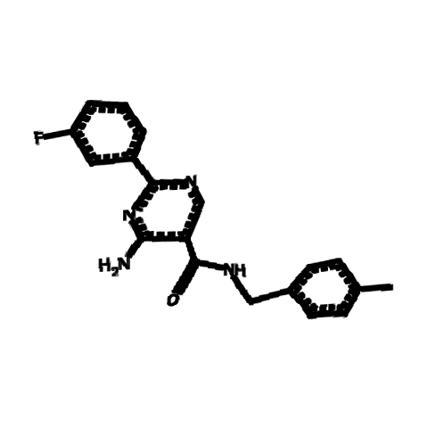 Cc1ccc(CNC(=O)c2cnc(-c3cccc(F)c3)nc2N)cc1